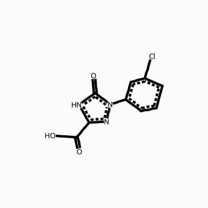 O=C(O)c1nn(-c2cccc(Cl)c2)c(=O)[nH]1